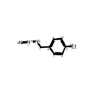 CCc1ccc(CN=[N+]=[N-])cc1